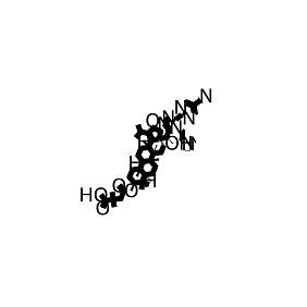 CC(C)C1=C2[C@H]3CC[C@@H]4[C@@]5(C)CC[C@H](OC(=O)CC(C)(C)C(=O)O)C(C)(C)[C@@H]5CC[C@@]4(C)[C@]3(C)CC[C@@]2([C@@H](O)c2nnc(-c3ncc(C#N)cn3)n2CCN(C)C)CC1=O